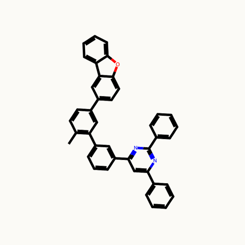 Cc1ccc(-c2ccc3oc4ccccc4c3c2)cc1-c1cccc(-c2cc(-c3ccccc3)nc(-c3ccccc3)n2)c1